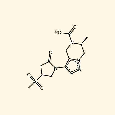 C[C@H]1Cn2ncc(N3CC(S(C)(=O)=O)CC3=O)c2CN1C(=O)O